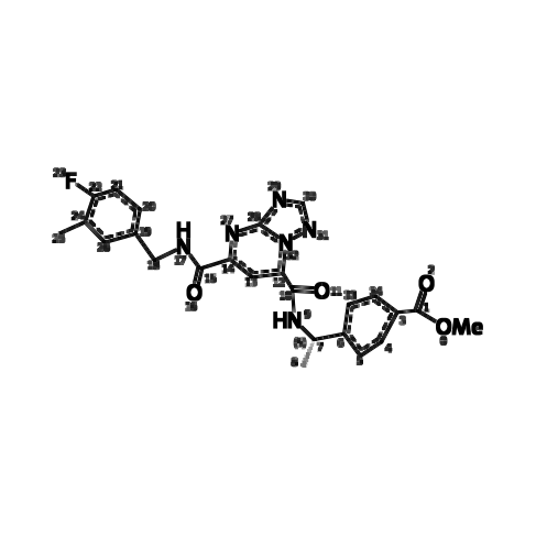 COC(=O)c1ccc([C@H](C)NC(=O)c2cc(C(=O)NCc3ccc(F)c(C)c3)nc3ncnn23)cc1